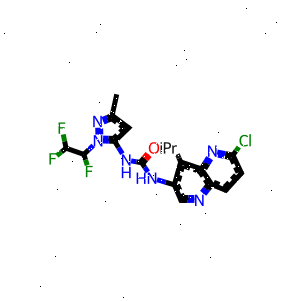 Cc1cc(NC(=O)Nc2cnc3ccc(Cl)nc3c2C(C)C)n(C(F)C(F)F)n1